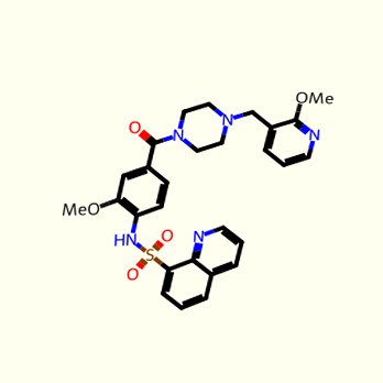 COc1cc(C(=O)N2CCN(Cc3cccnc3OC)CC2)ccc1NS(=O)(=O)c1cccc2cccnc12